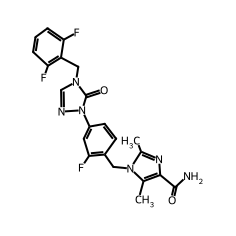 Cc1nc(C(N)=O)c(C)n1Cc1ccc(-n2ncn(Cc3c(F)cccc3F)c2=O)cc1F